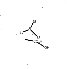 CC(=O)O.CCN(CC)CC.CO